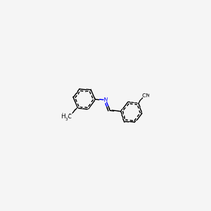 Cc1cccc(N=Cc2cccc(C#N)c2)c1